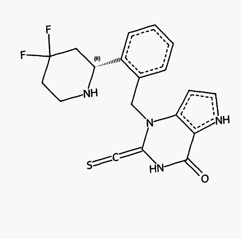 O=C1NC(=C=S)N(Cc2ccccc2[C@H]2CC(F)(F)CCN2)c2cc[nH]c21